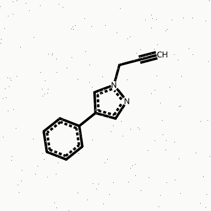 C#CCn1cc(-c2ccccc2)cn1